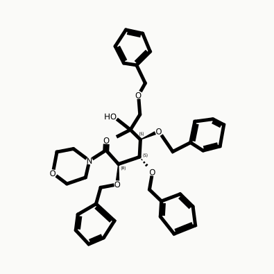 CC(O)(COCc1ccccc1)[C@@H](OCc1ccccc1)[C@H](OCc1ccccc1)[C@@H](OCc1ccccc1)C(=O)N1CCOCC1